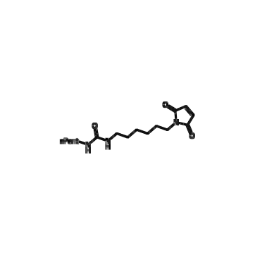 CCCCCNC(=O)NCCCCCCN1C(=O)C=CC1=O